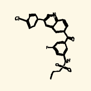 CCCS(=O)(=O)Nc1cc(F)cc(C(=O)c2ccc3ncc(-c4ccc(Cl)cc4)cc3c2)c1